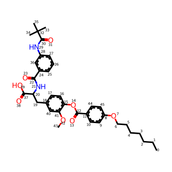 CCCCCCCOc1ccc(C(=O)Oc2ccc(CC(NC(=O)c3cccc(NC(=O)C(C)(C)C)c3)C(=O)O)cc2OC)cc1